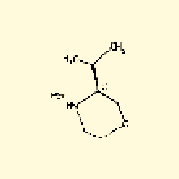 Br.CC(C)[C@H]1COCCN1